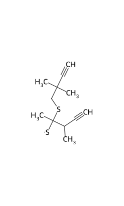 C#CC(C)C(C)([S])SCC(C)(C)C#C